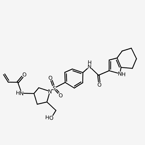 C=CC(=O)NC1CC(CO)N(S(=O)(=O)c2ccc(NC(=O)c3cc4c([nH]3)CCCC4)cc2)C1